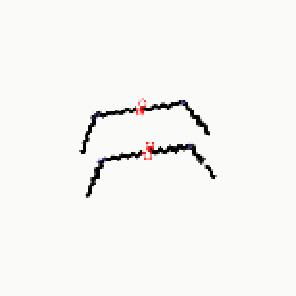 CCCCCCCC/C=C\CCCCCCCCOC(=O)CCCCCCC/C=C\CCCCCCCC.CCCCCCCC/C=C\CCCCCCCCOC(=O)CCCCCCC/C=C\CCCCCCCC